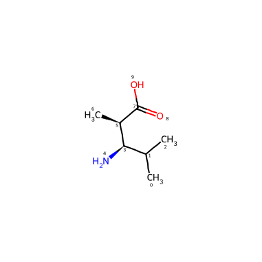 CC(C)[C@@H](N)[C@@H](C)C(=O)O